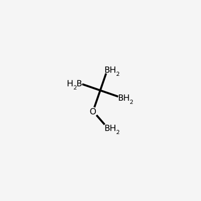 BOC(B)(B)B